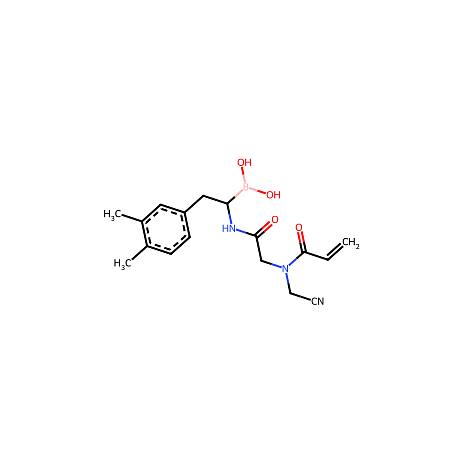 C=CC(=O)N(CC#N)CC(=O)NC(Cc1ccc(C)c(C)c1)B(O)O